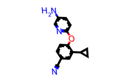 N#Cc1ccc(Oc2ccc(N)cn2)c(C2CC2)c1